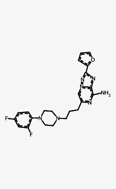 Nc1nc(CCCN2CCN(c3ccc(F)cc3F)CC2)cn2nc(-c3ccco3)nc12